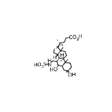 C[C@H](CCC(=O)O)[C@H]1CC[C@H]2C3C(CNS(=O)(=O)O)[C@H](O)C4C[C@H](O)CCC4(C)[C@H]3CCC12C